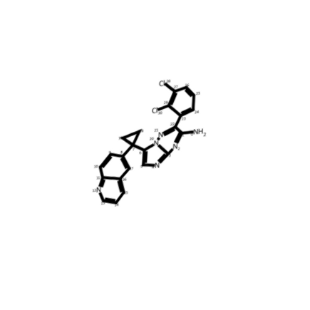 Nc1nc2ncc(C3(c4ccc5ncccc5c4)CC3)n2nc1-c1cccc(Cl)c1Cl